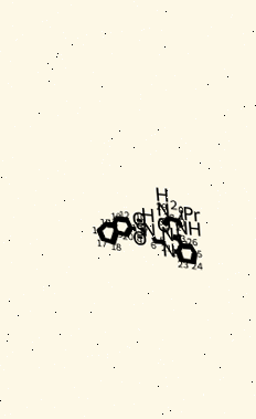 CC(C)[C@H](Nc1nc(CNS(=O)(=O)c2ccc3ccccc3c2)nc2ccccc12)C(N)=O